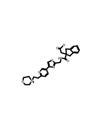 C[N+]1(CCc2ccc(-c3csc(CNC(=O)C4(CC(=O)[O-])Cc5ccccc5C4)n3)cn2)CCOCC1